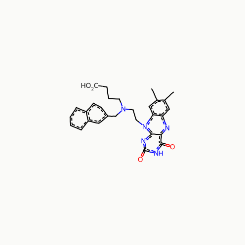 Cc1cc2nc3c(=O)[nH]c(=O)nc-3n(CCN(CCCC(=O)O)Cc3ccc4ccccc4c3)c2cc1C